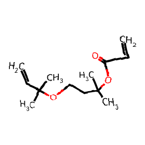 C=CC(=O)OC(C)(C)CCOC(C)(C)C=C